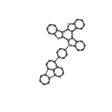 c1ccc2c(c1)-c1cccc3c(-c4ccc(-n5c6ccccc6c6c7c8ccccc8sc7c7c8ccccc8sc7c65)cc4)ccc-2c13